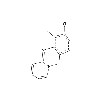 Cc1c(Cl)ccc2c1N=C1C=CC=CN1C2